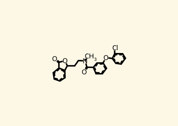 CN(CCC1OC(=O)c2ccccc21)C(=O)c1cccc(Oc2ccccc2Cl)c1